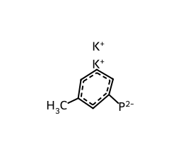 Cc1cccc([P-2])c1.[K+].[K+]